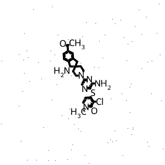 CC(=O)c1ccc2c(c1)CC1(CCN(c3cnc(Sc4ccn(C)c(=O)c4Cl)c(N)n3)CC1)[C@@H]2N